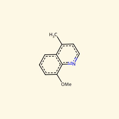 COc1cccc2c(C)ccnc12